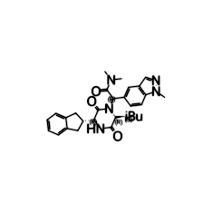 CC[C@H](C)[C@@H]1C(=O)N[C@H](C2Cc3ccccc3C2)C(=O)N1[C@@H](C(=O)N(C)C)c1ccc2c(cnn2C)c1